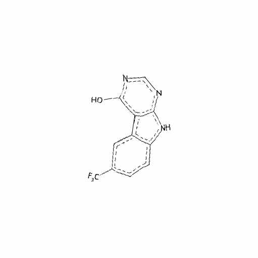 Oc1ncnc2[nH]c3ccc(C(F)(F)F)cc3c12